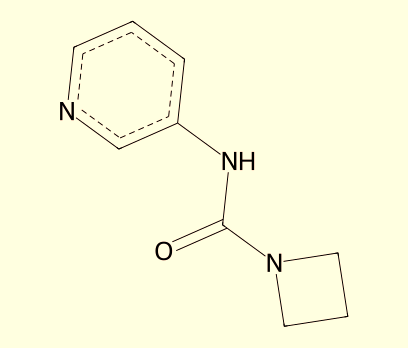 O=C(Nc1cccnc1)N1CCC1